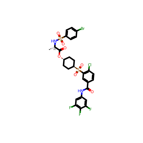 C[C@H](NS(=O)(=O)c1ccc(Br)cc1)C(=O)O[C@H]1CC[C@H](S(=O)(=O)c2cc(C(=O)Nc3cc(F)c(F)c(F)c3)ccc2Cl)CC1